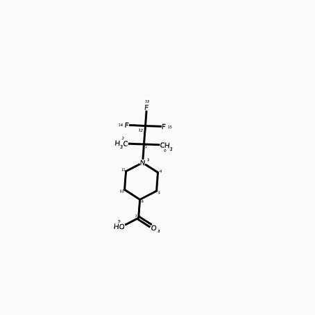 CC(C)(N1CCC(C(=O)O)CC1)C(F)(F)F